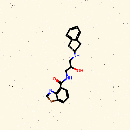 O=C(NCC(O)CNC1Cc2ccccc2C1)c1cccc2scnc12